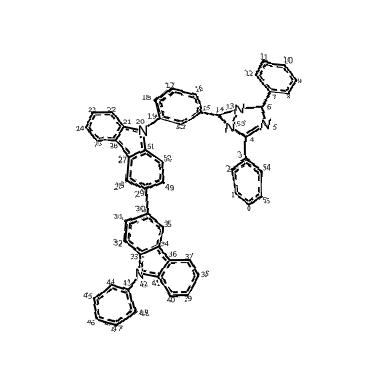 c1ccc(C2=NC(c3ccccc3)N3C(c4cccc(-n5c6ccccc6c6cc(-c7ccc8c(c7)c7ccccc7n8-c7ccccc7)ccc65)c4)N23)cc1